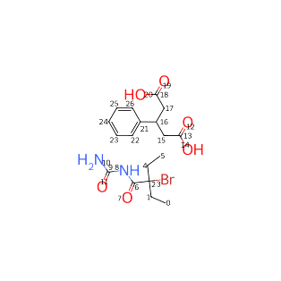 CCC(Br)(CC)C(=O)NC(N)=O.O=C(O)CC(CC(=O)O)c1ccccc1